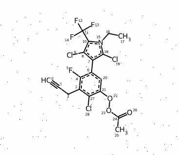 C#CCc1c(F)c(-c2c(Cl)c(C(F)(F)F)n(CC)c2Cl)cc(OOC(C)=O)c1Cl